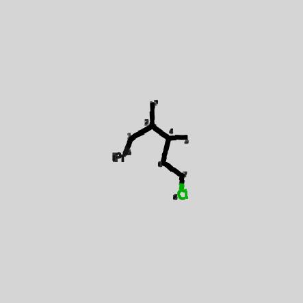 CC(C)CC(C)C(C)CCCl